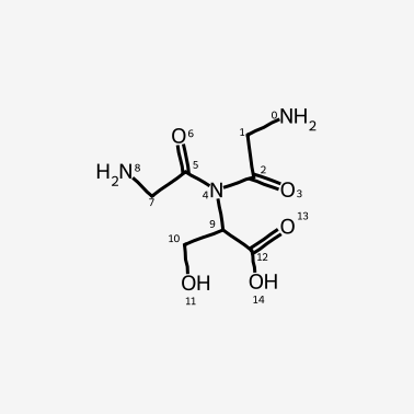 NCC(=O)N(C(=O)CN)C(CO)C(=O)O